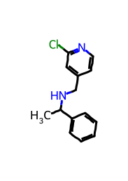 CC(NCc1ccnc(Cl)c1)c1ccccc1